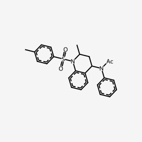 CC(=O)N(c1ccccc1)C1CC(C)N(S(=O)(=O)c2ccc(C)cc2)c2ccccc21